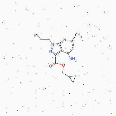 Cc1cc(N)c2c(C(=O)OCC3CC3)nn(CCC(C)C)c2n1